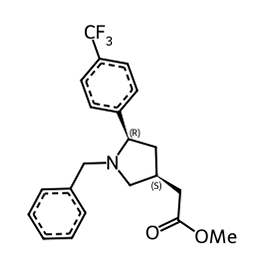 COC(=O)C[C@@H]1C[C@H](c2ccc(C(F)(F)F)cc2)N(Cc2ccccc2)C1